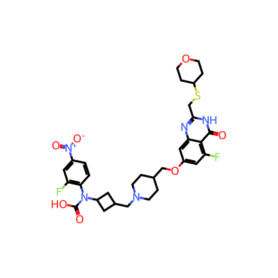 O=C(O)N(c1ccc([N+](=O)[O-])cc1F)C1CC(CN2CCC(COc3cc(F)c4c(=O)[nH]c(CSC5CCOCC5)nc4c3)CC2)C1